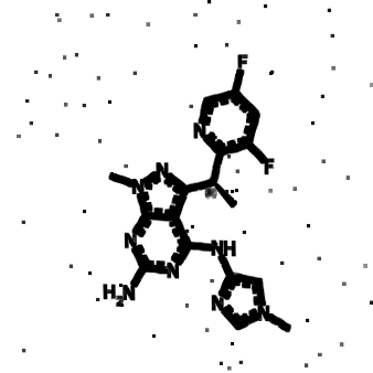 C[C@H](c1ncc(F)cc1F)c1nn(C)c2nc(N)nc(Nc3cn(C)cn3)c12